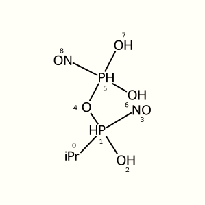 CC(C)[PH](O)(N=O)O[PH](O)(O)N=O